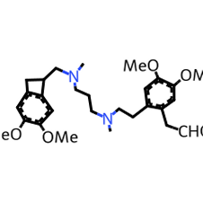 COc1cc(CC=O)c(CCN(C)CCCN(C)CC2Cc3cc(OC)c(OC)cc32)cc1OC